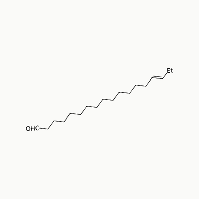 CCC=CCCCCCCCCCCCCCC=O